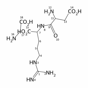 N=C(N)NCCCC(NC(=O)C(N)CC(=O)O)C(=O)O.NCC(=O)O